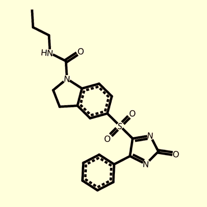 CCCNC(=O)N1CCc2cc(S(=O)(=O)C3=NC(=O)N=C3c3ccccc3)ccc21